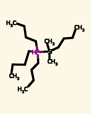 CCCC[Si](C)(C)[PH](CCCC)(CCCC)CCCC